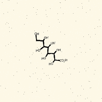 CCOC(=O)C(O)C(O)C(O)C(O)C(O)C(O)CO